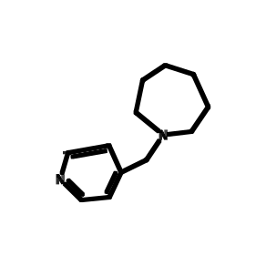 [c]1cc(CN2CCCCCC2)ccn1